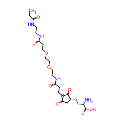 CCC(=O)NCCNC(=O)CCOCCOCCNC(=O)CCN1C(=O)CC(SCC(N)C(=O)O)C1=O